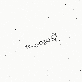 CCCCC1CCC(c2ccc(OC(=O)c3ccc(C(C)CCC)cc3)cc2)CC1